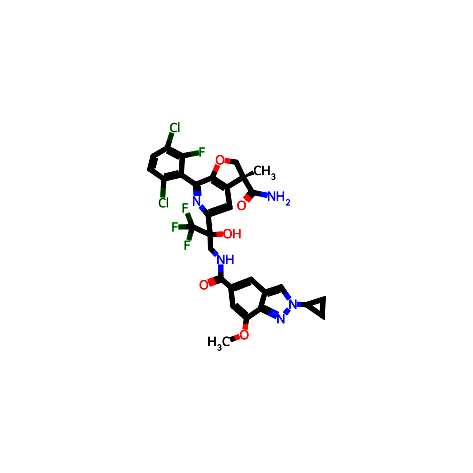 COc1cc(C(=O)NCC(O)(c2cc3c(c(-c4c(Cl)ccc(Cl)c4F)n2)OC[C@]3(C)C(N)=O)C(F)(F)F)cc2cn(C3CC3)nc12